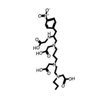 CCCN(CCN(CCCN(CC(=O)O)CC(Cc1ccc([N+](=O)[O-])cc1)NCC(=O)O)CC(=O)O)CC(=O)O